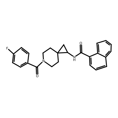 O=C(NC1CC12CCN(C(=O)c1ccc(F)cc1)CC2)c1cccc2ccccc12